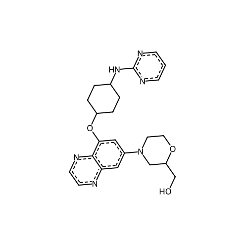 OCC1CN(c2cc(OC3CCC(Nc4ncccn4)CC3)c3nccnc3c2)CCO1